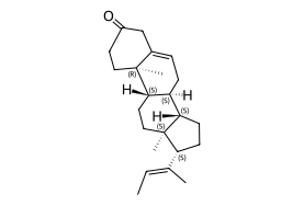 CC=C(C)[C@H]1CC[C@H]2[C@@H]3CC=C4CC(=O)CC[C@]4(C)[C@H]3CC[C@]12C